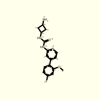 COc1cc(F)ccc1-c1ccnc(NC(=O)NC2CC(N)C2)c1